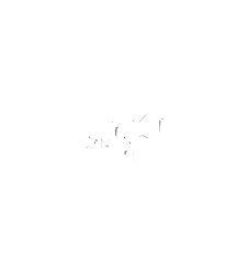 O=C(N1CCC=N1)N(Cl)c1ccccc1